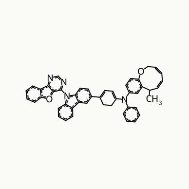 CC1/C=C\C=C/COc2ccc(N(C3=CC=C(c4ccc5c(c4)c4ccccc4n5-c4ncnc5c4oc4ccccc45)CC3)c3ccccc3)cc21